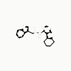 c1ccc2c(CNNc3ncnc4sc5c(c34)CCCC5)c[nH]c2c1